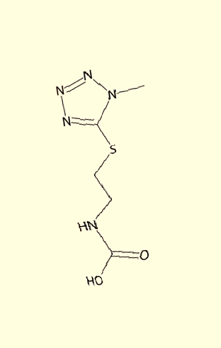 Cn1nnnc1SCCNC(=O)O